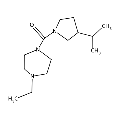 CCN1CCN(C(=O)N2CCC(C(C)C)C2)CC1